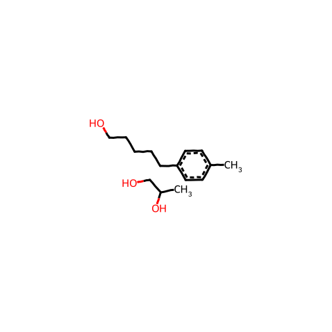 CC(O)CO.Cc1ccc(CCCCCO)cc1